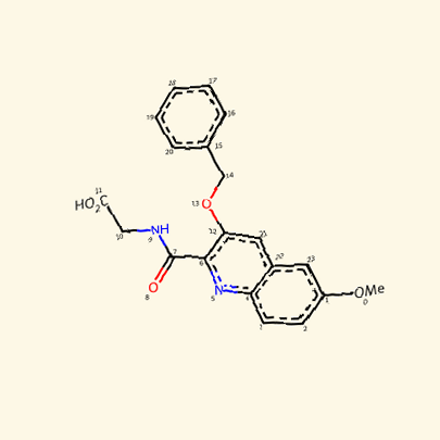 COc1ccc2nc(C(=O)NCC(=O)O)c(OCc3ccccc3)cc2c1